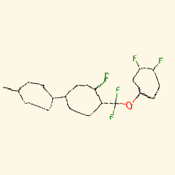 CC1CCC(C2CCC(C(F)(F)OC3CCC(F)C(F)C3)C(F)C2)CC1